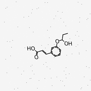 CCC(O)Oc1cccc(/C=C/C(=O)O)c1